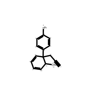 C#CCC1(c2ccc(CCC)cc2)C=CC=CC1OC